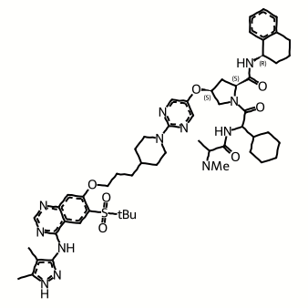 CNC(C)C(=O)NC(C(=O)N1C[C@@H](Oc2cnc(N3CCC(CCCOc4cc5ncnc(Nc6n[nH]c(C)c6C)c5cc4S(=O)(=O)C(C)(C)C)CC3)nc2)C[C@H]1C(=O)N[C@@H]1CCCc2ccccc21)C1CCCCC1